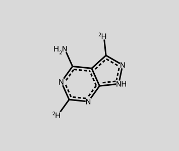 [2H]c1nc(N)c2c([2H])n[nH]c2n1